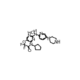 Cl.O=C1N(C2CCCC2)c2nc(Nc3ccc(N4CCNCC4)cn3)ncc2OC1(F)F